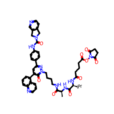 CC(C)[C@H](NC(=O)CCCC(=O)ON1C(=O)CCC1=O)C(=O)N[C@@H](C)C(=O)NCCCCn1nc(-c2ccc(NC(=O)N3Cc4ccncc4C3)cc2)cc(-c2cccc3ncccc23)c1=O